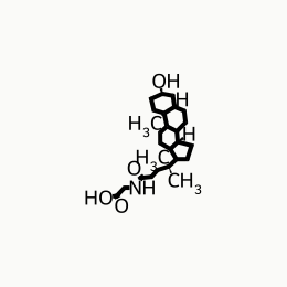 C[C@H](CCC(=O)NCC(=O)O)C1CC[C@H]2C3CC[C@@H]4C[C@H](O)CC[C@]4(C)C3CC[C@]12C